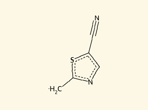 [CH2]c1ncc(C#N)s1